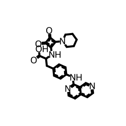 O=C(O)C(Cc1ccc(Nc2nccc3ccncc23)cc1)Nc1c(N2CCCCC2)c(=O)c1=O